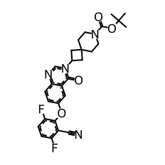 CC(C)(C)OC(=O)N1CCC2(CC1)CC(n1cnc3ccc(Oc4c(F)ccc(F)c4C#N)cc3c1=O)C2